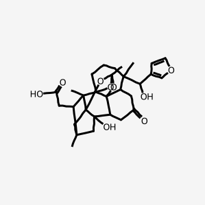 CC12OC34C5CC(=O)CC3C3(O)CC6(C)CC3(O1)C(C)(C6CC(=O)O)C4(CCCC5(C)C(O)c1ccoc1)O2